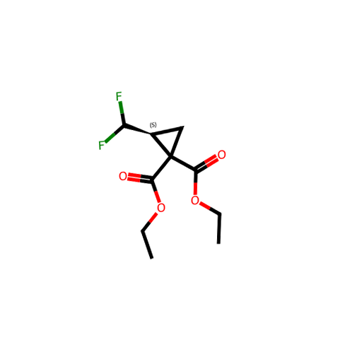 CCOC(=O)C1(C(=O)OCC)C[C@@H]1C(F)F